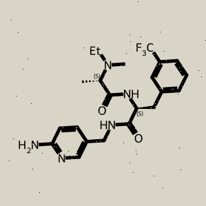 CCN(C)[C@@H](C)C(=O)N[C@@H](Cc1cccc(C(F)(F)F)c1)C(=O)NCc1ccc(N)nc1